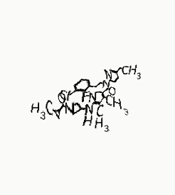 CCc1ccc(N(CCc2cccc(Cl)c2F)C(=O)c2cnc(NC3CN(C(=O)C4CC4C)C3)c(C)c2C)nc1